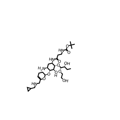 CC[C@@H](O)[C@H](OCCO)O[C@@H]1[C@@H](O)[C@H](O[C@@H]2CCC=C(CNCC3CC3)O2)[C@@H](N)C[C@H]1NC(=O)CCNC(=O)OC(C)(C)C